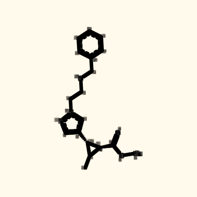 CC1[C@H](C(=O)OC(C)(C)C)[C@H]1c1cnn(CCOCc2ccccc2)c1